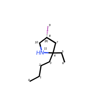 CCCCC1(CC)C[C@@H](I)CN1